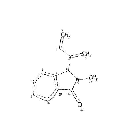 C=CC(=C)C1c2ccccc2C(=O)N1C